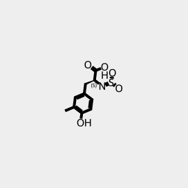 Cc1cc(C[C@H](N=S(=O)=O)C(=O)O)ccc1O